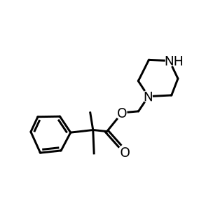 CC(C)(C(=O)OCN1CCNCC1)c1ccccc1